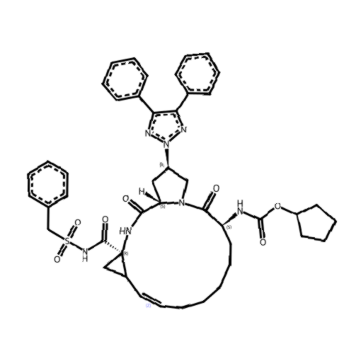 O=C(N[C@H]1CCCCC/C=C\C2C[C@@]2(C(=O)NS(=O)(=O)Cc2ccccc2)NC(=O)[C@@H]2C[C@@H](n3nc(-c4ccccc4)c(-c4ccccc4)n3)CN2C1=O)OC1CCCC1